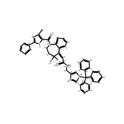 Cc1nc(-c2ccccc2)sc1C(=O)N1CCC(F)(F)C(=CC(=O)NCc2cn(C(c3ccccc3)(c3ccccc3)c3ccccc3)cn2)c2ccccc21